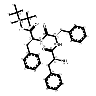 CC(C)(C)[Si](C)(OC(=O)[C@H](Cc1ccccc1)NC(=O)[C@H](Cc1ccccc1)NC(=O)[C@@H](N)Cc1ccccc1)C(C)(C)C